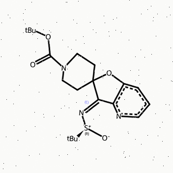 CC(C)(C)OC(=O)N1CCC2(CC1)Oc1cccnc1/C2=N\[S@@+]([O-])C(C)(C)C